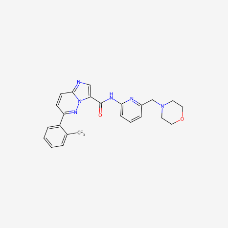 O=C(Nc1cccc(CN2CCOCC2)n1)c1cnc2ccc(-c3ccccc3C(F)(F)F)nn12